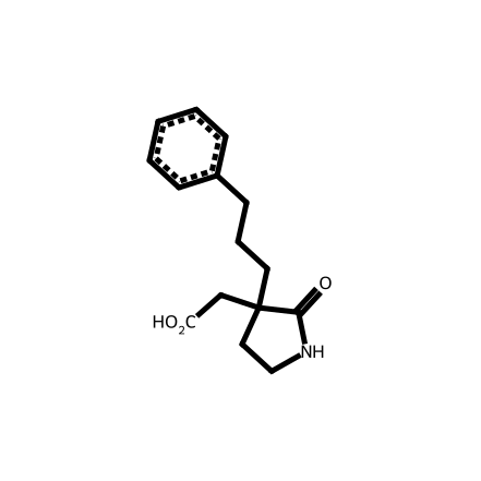 O=C(O)CC1(CCCc2ccccc2)CCNC1=O